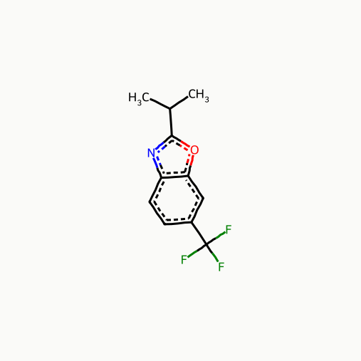 CC(C)c1nc2ccc(C(F)(F)F)cc2o1